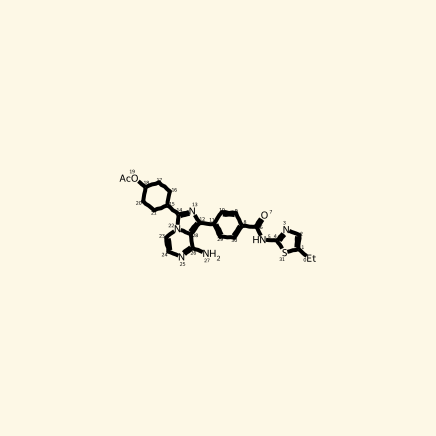 CCc1cnc(NC(=O)c2ccc(-c3nc(C4CCC(OC(C)=O)CC4)n4ccnc(N)c34)cc2)s1